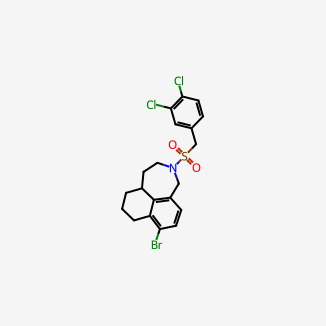 O=S(=O)(Cc1ccc(Cl)c(Cl)c1)N1CCC2CCCc3c(Br)ccc(c32)C1